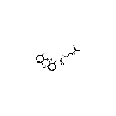 CC(=O)OCCOC(=O)Cc1ccccc1Nc1c(Cl)cccc1Cl